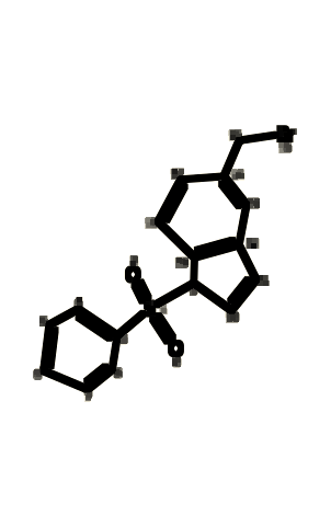 O=S(=O)(c1ccccc1)C1C=Cc2cc(CBr)ccc21